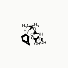 CC(C)(C)OC(=O)N[C@H](CO)C(=O)O.c1ccc2c(c1)C2